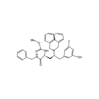 CC(C)(C)OC(=O)N[C@@H](C[C@H](Cc1cc(O)cc(F)c1)N(Cc1ccccc1)Cc1ccccc1)C(=O)NCc1ccccc1